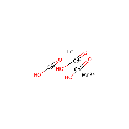 [Li+].[Mn+2].[O]=[Co-][OH].[O]=[Co-][OH].[O]=[Co-][OH]